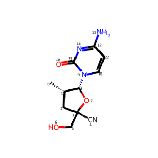 C[C@H]1CC(C#N)(CO)O[C@H]1n1ccc(N)nc1=O